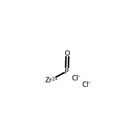 O=[P][Zr+2].[Cl-].[Cl-]